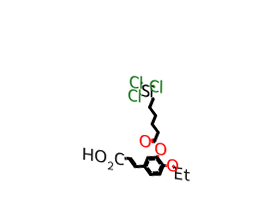 CCOc1ccc(C=CC(=O)O)cc1OC(=O)CCCCC[Si](Cl)(Cl)Cl